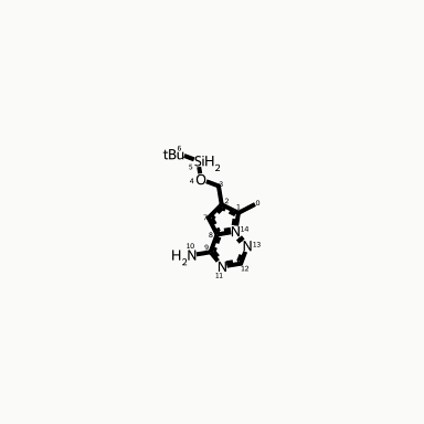 Cc1c(CO[SiH2]C(C)(C)C)cc2c(N)ncnn12